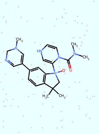 CN1C=C(c2ccc3c(c2)[N+]([O-])(C2=CNC=CN2C(=O)N(C)C)CC3(C)C)C=NC1